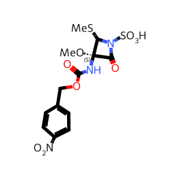 CO[C@@]1(NC(=O)OCc2ccc([N+](=O)[O-])cc2)C(=O)N(S(=O)(=O)O)C1SC